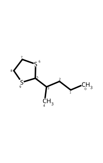 CCCC(C)C1SCCS1